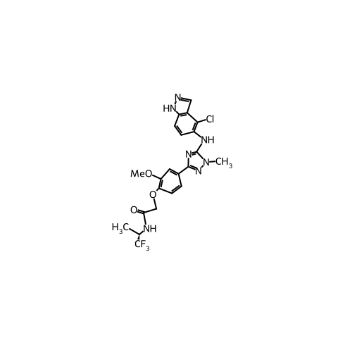 COc1cc(-c2nc(Nc3ccc4[nH]ncc4c3Cl)n(C)n2)ccc1OCC(=O)N[C@H](C)C(F)(F)F